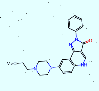 COCCN1CCN(c2ccc3[nH]cc4c(=O)n(-c5ccccc5)nc-4c3c2)CC1